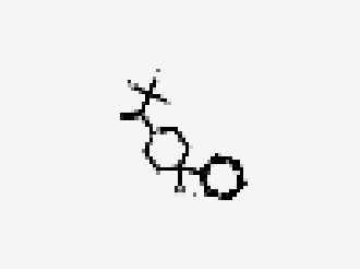 NC1(c2ccccc2)CCN(C(=O)C(F)(F)F)CC1